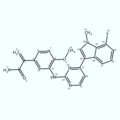 C=C(C(N)=O)c1cnc(OC)c(Nc2nccc(-c3cn(C)c4c(F)cccc34)n2)c1